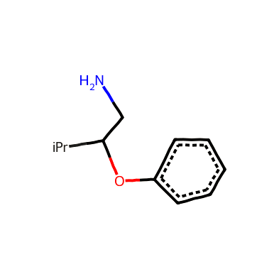 CC(C)C(CN)Oc1ccccc1